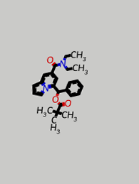 CCN(CC)C(=O)c1cc(C(OC(=O)C(C)(C)C)c2ccccc2)n2cccc2c1